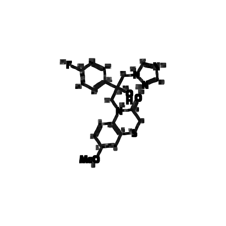 COc1ccc2c(c1)SCC(=O)N2CC(O)(Cn1cncn1)c1ccc(F)cc1